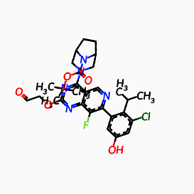 CC(C)c1c(Cl)cc(O)cc1-c1ncc2c(N3CC4CCC(C3)N4C(=O)OC(C)(C)C)nc(OCC=O)nc2c1F